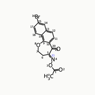 CC(=O)O/N=C1\CCOc2c(ccc3cc(Br)ccc23)C1=O